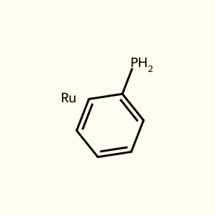 Pc1ccccc1.[Ru]